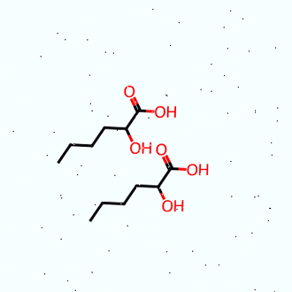 CCCCC(O)C(=O)O.CCCCC(O)C(=O)O